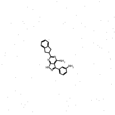 Nc1cccc(-c2n[nH]c3nc(C4Cc5ccccc5C4)nc(N)c23)c1